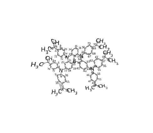 CC(C)c1ccc(N(c2ccc(C(C)C)cc2)c2ccc3c(c2)N(c2ccc(C(C)C)cc2)c2cccc4c2B3c2ccc(N(c3ccc(C(C)C)cc3)c3ccc(C(C)C)cc3)cc2N4c2ccc(C(C)C)cc2)cc1